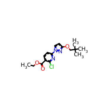 CCOC(=O)c1ccc(-n2ccc(OCC(C)(C)C)n2)nc1Cl